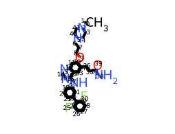 CCN1CCN(CCCOc2cc3ncnc(Nc4cccc(-c5c(F)cccc5F)c4)c3cc2C=CC(N)=O)CC1